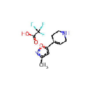 Cc1cc(C2=CCNCC2)on1.O=C(O)C(F)(F)F